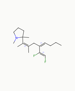 CCC/C=C(C/C(C)=C(/C)C1(C)CCCN1C)\C(F)=C\F